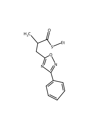 CCSC(=O)C(C)Cc1nc(-c2ccccc2)no1